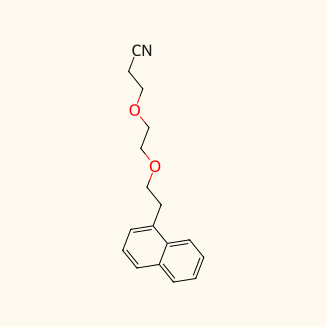 N#CCCOCCOCCc1cccc2ccccc12